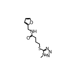 Cn1nnnc1SCCCC(=O)NCc1ccco1